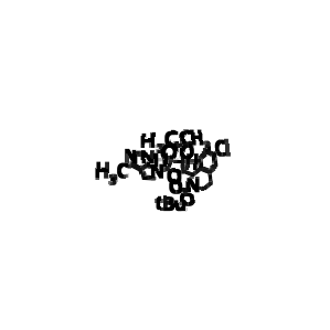 Cc1ncnc2c1ccn2[C@@H]1O[C@H]([C@H]2c3ccc(Cl)cc3CCN2C(=O)OC(C)(C)C)[C@H]2OC(C)(C)O[C@H]21